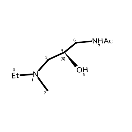 CCN(C)C[C@H](O)CNC(C)=O